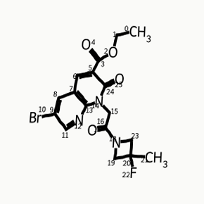 CCOC(=O)c1cc2cc(Br)cnc2n(CC(=O)N2CC(C)(F)C2)c1=O